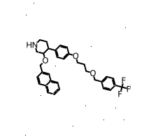 FC(F)(F)c1ccc(COCCCOc2ccc(C3CCNCC3OCc3ccc4ccccc4c3)cc2)cc1